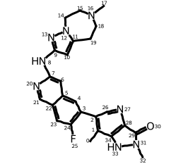 Cc1c(-c2cc3cc(Nc4cc5n(n4)CCN(C)CC5)ncc3cc2F)cnc2c(=O)n(C)[nH]c12